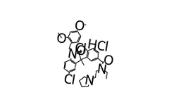 CCN(CCN1CCCC1)C(=O)c1ccc(Cl)c(C2(C)C(=O)N(Cc3ccc(OC)cc3OC)c3ccc(Cl)cc32)c1.Cl